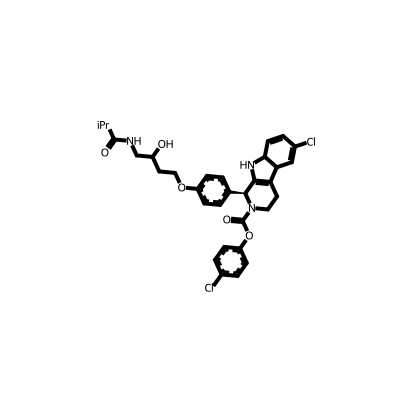 CC(C)C(=O)NCC(O)CCOc1ccc([C@H]2C3=C(CCN2C(=O)Oc2ccc(Cl)cc2)C2C=C(Cl)C=CC2N3)cc1